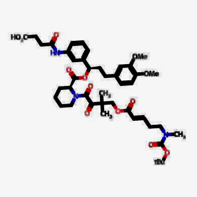 COc1ccc(CC[C@@H](OC(=O)[C@@H]2CCCCN2C(=O)C(=O)C(C)(C)COC(=O)/C=C/CCN(C)C(=O)OC(C)(C)C)c2cccc(NC(=O)CCC(=O)O)c2)cc1OC